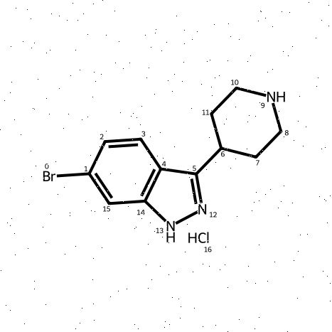 Brc1ccc2c(C3CCNCC3)n[nH]c2c1.Cl